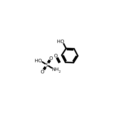 C=O.NS(=O)(=O)O.Oc1ccccc1